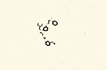 CCC(CC)CN(C(=O)CNC(=O)Nc1cccc(CC(=O)O)c1)c1cccc(OCC(=O)N(C)c2ccccc2)c1